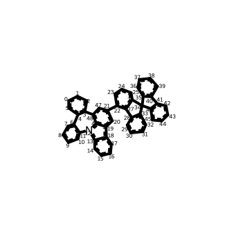 c1ccc2c(c1)-c1ccccc1-n1c3ccccc3c3cc(-c4cccc5c4-c4ccccc4C54c5ccccc5-c5ccccc54)cc-2c31